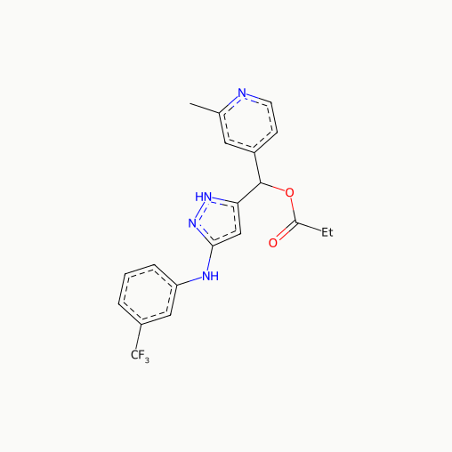 CCC(=O)OC(c1ccnc(C)c1)c1cc(Nc2cccc(C(F)(F)F)c2)n[nH]1